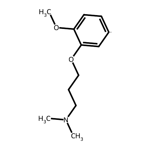 COc1cc[c]cc1OCCCN(C)C